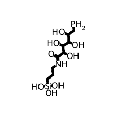 O=C(NCCC[Si](O)(O)O)C(O)C(O)C(O)C(O)CP